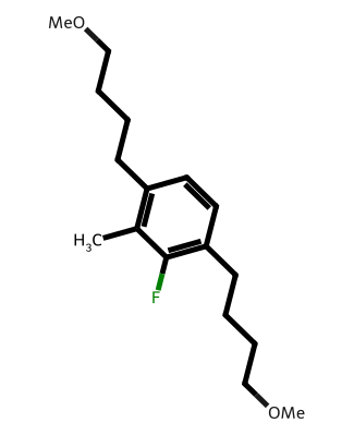 COCCCCc1ccc(CCCCOC)c(F)c1C